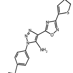 CCc1ccc(-n2nnc(-c3nc(C4=CCCS4)no3)c2N)cc1